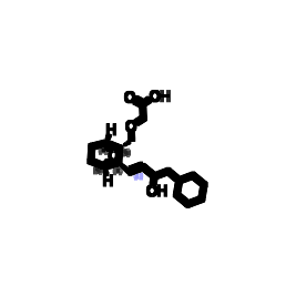 O=C(O)COC[C@@H]1[C@@H](/C=C/C(O)CC2CCCCC2)[C@@H]2CC[C@H]1O2